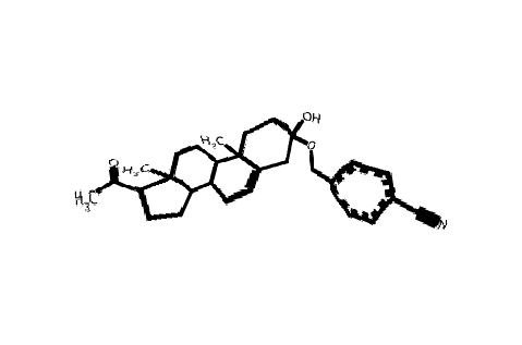 CC(=O)C1CCC2C3CC=C4CC(O)(OCc5ccc(C#N)cc5)CCC4(C)C3CCC12C